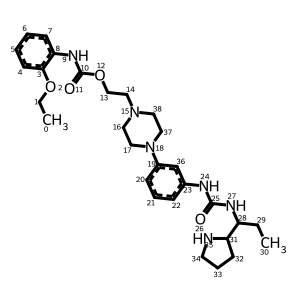 CCOc1ccccc1NC(=O)OCCN1CCN(c2cccc(NC(=O)NC(CC)C3CCCN3)c2)CC1